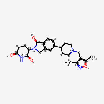 Cc1noc(C)c1CN1CCC(c2ccc3c(c2)CN(C2CCC(=O)NC2=O)C3=O)CC1